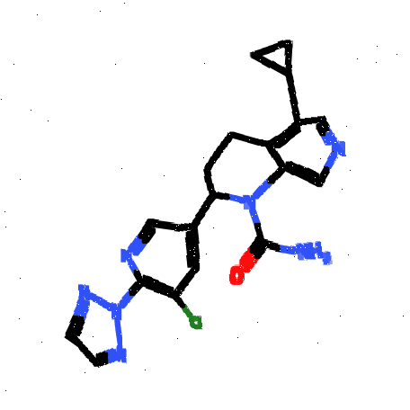 NC(=O)N1c2cncc(C3CC3)c2CCC1c1cnc(-n2nccn2)c(Cl)c1